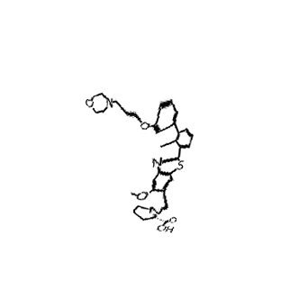 COc1cc2nc(-c3cccc(-c4cccc(OCCCN5CCOCC5)c4)c3C)sc2cc1CN1CCC[C@H]1C(=O)O